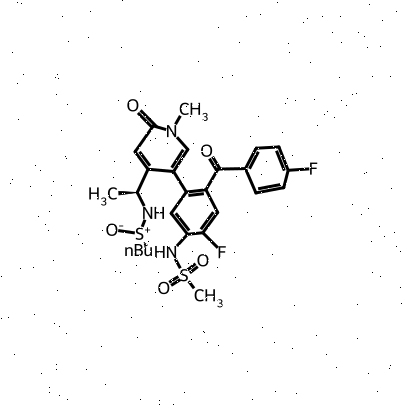 CCCC[S@+]([O-])N[C@@H](C)c1cc(=O)n(C)cc1-c1cc(NS(C)(=O)=O)c(F)cc1C(=O)c1ccc(F)cc1